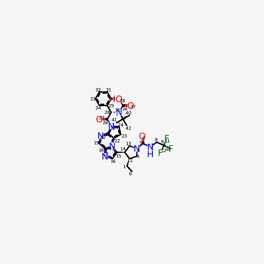 CC[C@@H]1CN(C(=O)NCC(F)(F)F)C[C@@H]1c1cnc2cnc3c(ccn3C(=O)[C@H](c3ccccc3)N(C(=O)O)C(C)(C)C)n12